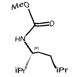 COC(=O)N[C@H](CC(C)C)C(C)C